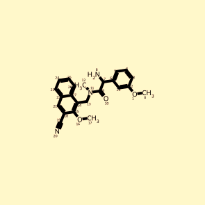 COc1cccc(C(N)C(=O)N(C)Cc2c(OC)c(C#N)cc3ccccc23)c1